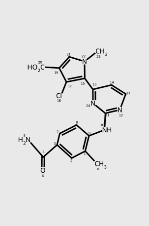 Cc1cc(C(N)=O)ccc1Nc1nccc(-c2c(Cl)c(C(=O)O)cn2C)n1